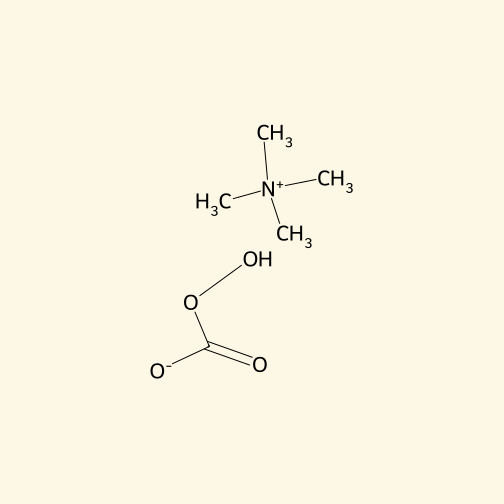 C[N+](C)(C)C.O=C([O-])OO